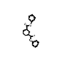 O=C(Oc1ccccc1)C1CCCC(C(=O)Oc2ccccc2)C1